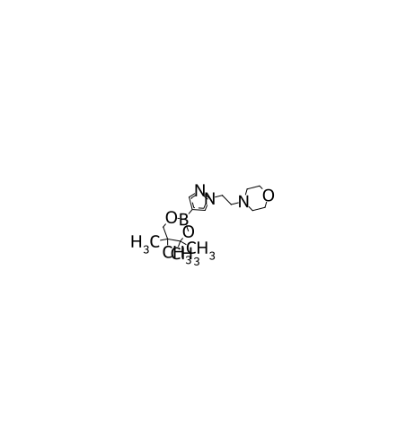 CC1(C)COB(c2cnn(CCN3CCOCC3)c2)OC1(C)C